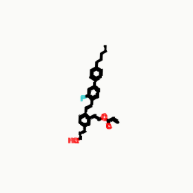 C=CC(=O)OCCc1cc(CCCO)ccc1CCc1ccc(-c2ccc(CCCCC)cc2)cc1F